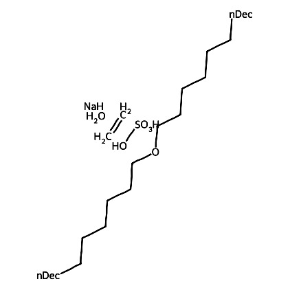 C=C.CCCCCCCCCCCCCCCCOCCCCCCCCCCCCCCCC.O.O=S(=O)(O)O.[NaH]